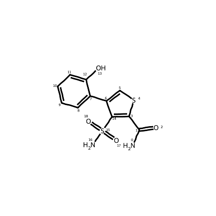 NC(=O)c1scc(-c2ccccc2O)c1S(N)(=O)=O